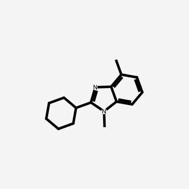 Cc1cccc2c1nc(C1CCCCC1)n2C